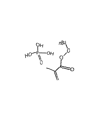 C=C(C)C(=O)OOCCCC.O=P(O)(O)O